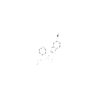 CCCC(O)(c1nc2ccc(C#N)cc2s1)c1cnccc1OCC